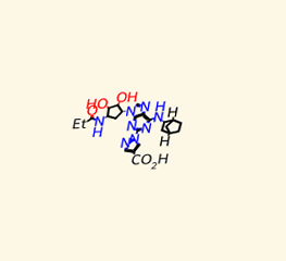 CCC(=O)N[C@H]1C[C@@H](n2cnc3c(N[C@H]4C[C@H]5CC[C@@H]4C5)nc(-n4cc(C(=O)O)cn4)nc32)[C@H](O)[C@@H]1O